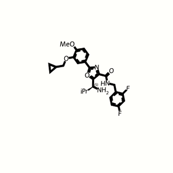 COc1ccc(-c2nc(C(=O)NCc3ccc(F)cc3F)c([C@@H](N)C(C)C)o2)cc1OCC1CC1